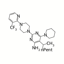 CCCCCC(C)c1c(N)nc(N2CCN(c3ncccc3C(F)(F)F)CC2)nc1N1CCCCC1